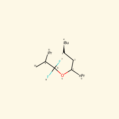 CCCC(CC[C@H](C)CC)OC(F)(F)C(C)C(C)C